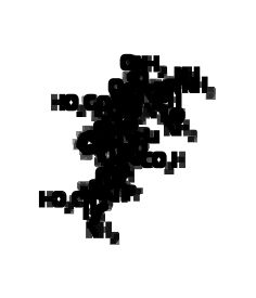 CC[C@H](C)[C@H](NC(=O)[C@H](Cc1ccccc1)NC(=O)[C@H](CCC(=O)O)NC(=O)C(C)(C)NC(=O)[C@H](CCC(N)=O)NC(=O)[C@H](CCCNC(=N)N)NC(=O)[C@@H](N)CCC(N)=O)C(=O)N[C@@H](CCC(=O)O)C(=O)N[C@@H](Cc1c[nH]c2ccccc12)C(=O)N[C@@H](CC(C)C)C(=O)N[C@@H](CCCCN)C(=O)N[C@@H](C)C(=O)O